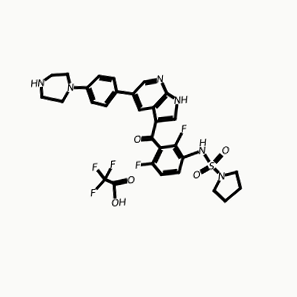 O=C(O)C(F)(F)F.O=C(c1c(F)ccc(NS(=O)(=O)N2CCCC2)c1F)c1c[nH]c2ncc(-c3ccc(N4CCNCC4)cc3)cc12